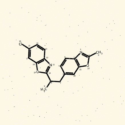 Cc1nc2ccc(CC(C)c3nc4ccc(Cl)cc4o3)cc2o1